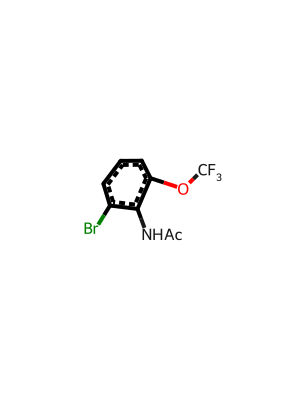 CC(=O)Nc1c(Br)cccc1OC(F)(F)F